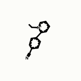 CC[n+]1ccccc1-c1ccc(C#N)cc1